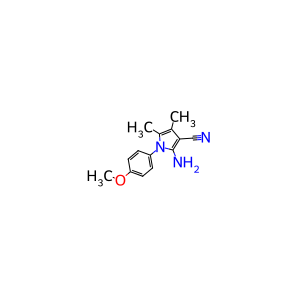 COc1ccc(-n2c(C)c(C)c(C#N)c2N)cc1